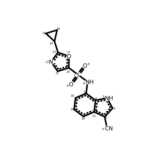 N#Cc1c[nH]c2c(NS(=O)(=O)c3cnc(C4CC4)o3)cccc12